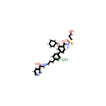 Cl.Cl.O=C(NS(=O)(=O)CCCO)c1ccc(-c2ccc(CCCNC[C@H](O)c3cccnc3)cc2)cc1OC1CCCCC1